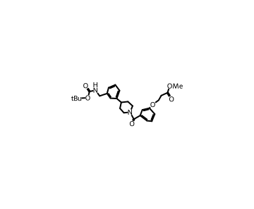 COC(=O)CCOc1cccc(C(=O)N2CCC(c3cccc(CNC(=O)OC(C)(C)C)c3)CC2)c1